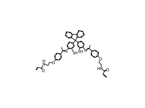 C=CC(=O)NCCOc1ccc(/C(C)=N/c2ccc(C3(c4ccc(/N=C(\C)c5ccc(OCCNC(=O)C=C)cc5)c(S)c4)c4ccccc4-c4ccccc43)cc2S)cc1